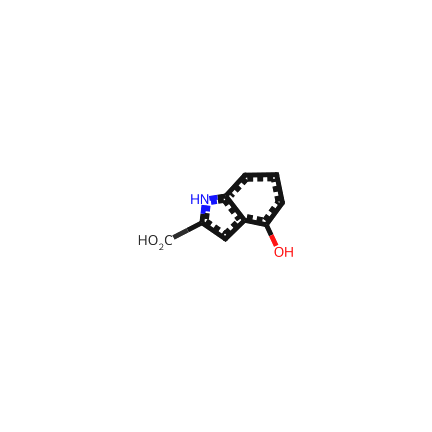 O=C(O)c1cc2c(O)cccc2[nH]1